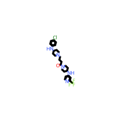 O=C(CCCN1CCC(Nc2ccc(Cl)cc2)CC1)N1CCC(Nc2ccnc(C(F)(F)F)c2)CC1